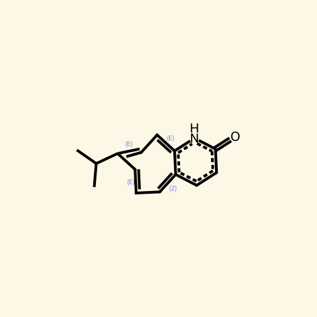 CC(C)C1=C\C=c2\[nH]c(=O)cc\c2=C\C=C\1